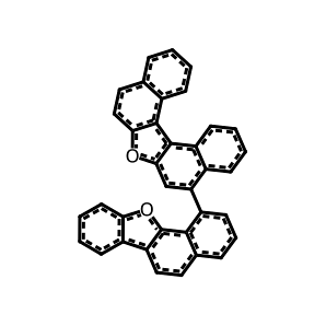 c1ccc2c(c1)ccc1oc3cc(-c4cccc5ccc6c7ccccc7oc6c45)c4ccccc4c3c12